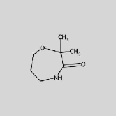 CC1(C)OCCCNC1=O